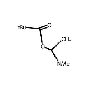 CNC(C)OC(=O)C(C)(C)C